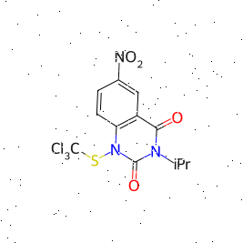 CC(C)n1c(=O)c2cc([N+](=O)[O-])ccc2n(SC(Cl)(Cl)Cl)c1=O